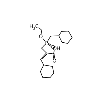 CCOP(=O)(C/C(=C/C1CCCCC1)C(=O)O)CC1CCCCC1